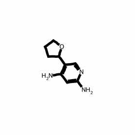 Nc1cc(N)c(C2CCCO2)cn1